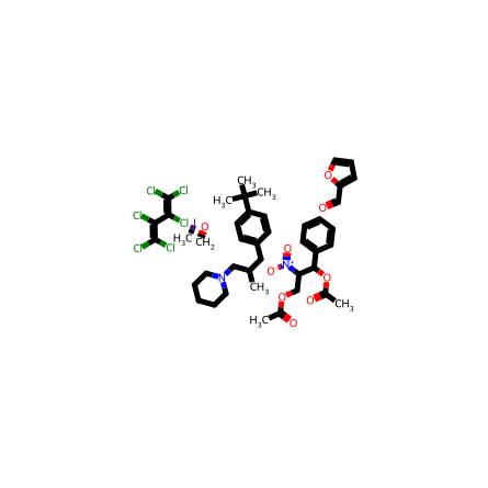 C=O.CC(=O)OCC(C(OC(C)=O)c1ccccc1)[N+](=O)[O-].CC(Cc1ccc(C(C)(C)C)cc1)CN1CCCCC1.CI.ClC(Cl)=C(Cl)C(Cl)=C(Cl)Cl.O=Cc1ccco1